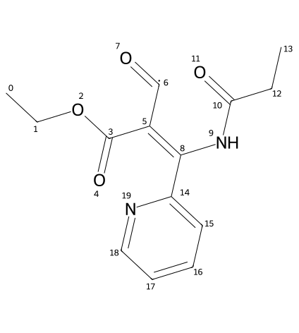 CCOC(=O)/C([C]=O)=C(/NC(=O)CC)c1ccccn1